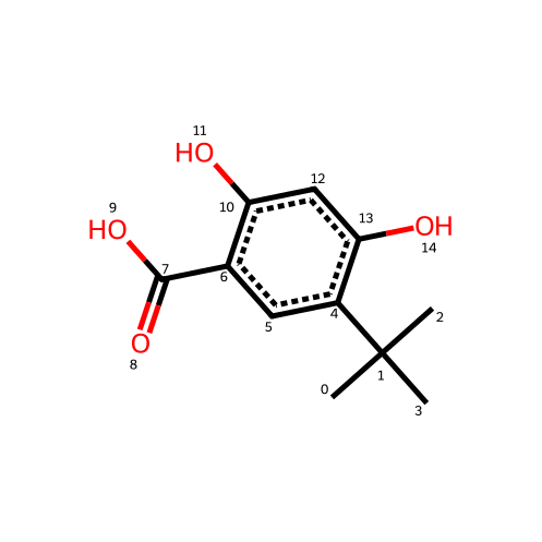 CC(C)(C)c1cc(C(=O)O)c(O)cc1O